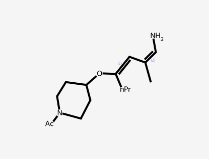 CCC/C(=C\C(C)=C/N)OC1CCN(C(C)=O)CC1